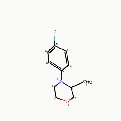 O=CC1COCCN1c1ccc(F)cc1